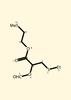 CCSCC(O[C]=O)C(=O)OCCSC